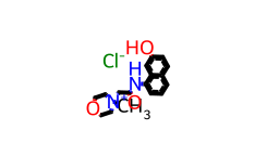 C[N+]1(CC(=O)Nc2cccc3ccc(O)cc23)CCOCC1.[Cl-]